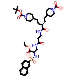 CCOC(=O)C(CNC(=O)CCNC(=O)[C@@H](CCC1CCN(C(=O)O)CC1)CCC1CCN(C(=O)OC(C)(C)C)CC1)NS(=O)(=O)c1ccc2ccccc2c1